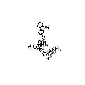 CC[Si](CC)(CC)O[C@@H](CNCCOc1ccc2c3c([nH]c2c1)CCCC3)c1ccc(F)c(NS(C)(=O)=O)c1